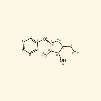 OCC1O[C@H](Oc2ccccc2)C(O)C1O